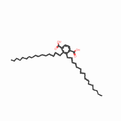 CCCCCCCCCCCCCCCCc1c(C(=O)O)ccc(C(=O)O)c1CCCCCCCCCCCCCCCC